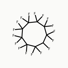 F[C]1C(F)(F)C(F)(F)C(F)(F)C(F)(F)C(F)(F)C(F)(F)C(F)(F)C1(F)F